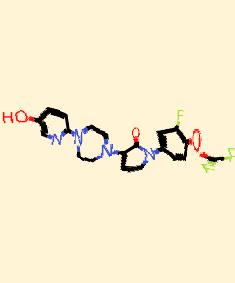 O=C1C(N2CCN(c3ccc(O)cn3)CC2)CCN1c1ccc(OC(F)F)c(F)c1